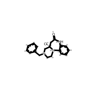 O=C1C[C@]2(Cl)CN(Cc3ccccc3)CCN2c2ccccc2N1